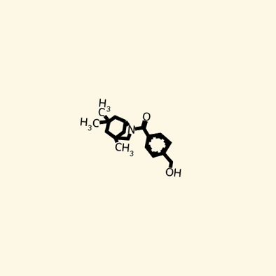 CC1(C)CC2CC(C)(CN2C(=O)c2ccc(CO)cc2)C1